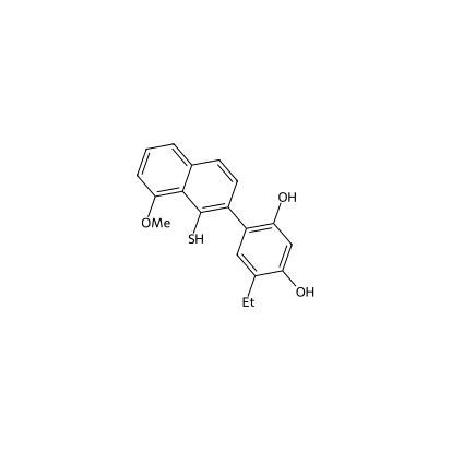 CCc1cc(-c2ccc3cccc(OC)c3c2S)c(O)cc1O